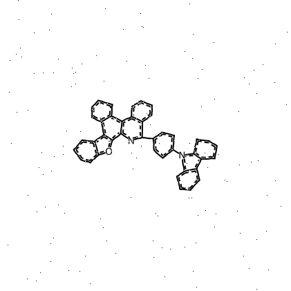 c1ccc2c(c1)oc1c3nc(-c4ccc(-n5c6ccccc6c6ccccc65)cc4)c4ccccc4c3c3ccccc3c21